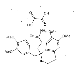 COc1ccc(CC2(CCC(N)=O)NCCc3cc(OC)c(OC)cc32)cc1OC.O=C(O)C(=O)O